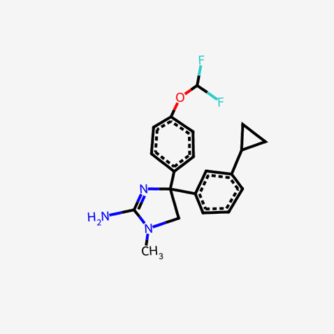 CN1CC(c2ccc(OC(F)F)cc2)(c2cccc(C3CC3)c2)N=C1N